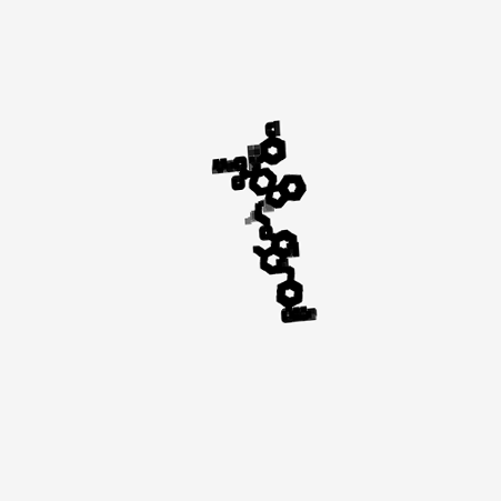 COC(=O)C1(Nc2cccc(Cl)c2)CCC2(CC1)c1ccccc1C[C@@H]2C[C@@H](C)COc1ccnc2c1C(C)CCN2Cc1ccc(OC)cc1